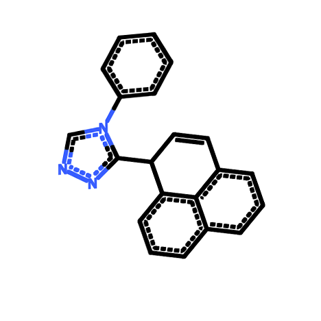 C1=CC(c2nncn2-c2ccccc2)c2cccc3cccc1c23